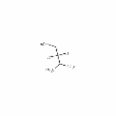 CCCCCCCCCC(CC)(CC)C(C(=O)O)C(=O)O